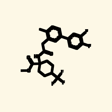 COC(=O)C1(NC(=O)Cc2cc(-c3ccc(F)c(F)c3)ccc2C)CCC(C(F)(F)F)CC1